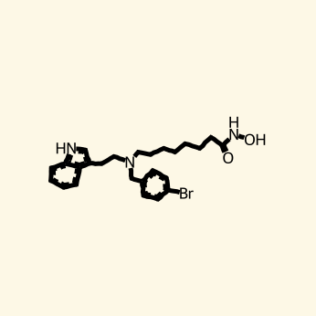 O=C(CCCCCCCN(CCc1c[nH]c2ccccc12)Cc1ccc(Br)cc1)NO